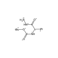 CC(C)C(NC(=O)OC(C)(C)C)C(=O)NN